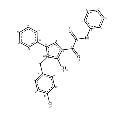 Cc1c(C(=O)C(=O)Nc2ccccc2)cc(-c2ccccc2)n1Cc1ccc(Cl)cc1